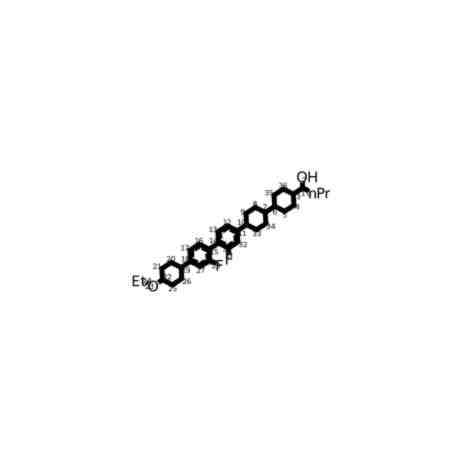 CCCC(O)C1CCC(C2CCC(c3ccc(-c4ccc(C5CCC(OCC)CC5)cc4F)c(F)c3)CC2)CC1